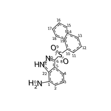 Nc1cccc2c(S(=O)(=O)c3cccc4ccccc34)n[nH]c12